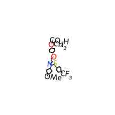 COc1ccc(-c2nc(COc3ccc(OC(C)C(=O)O)cc3)sc2-c2ccc(C(F)(F)F)cc2)cc1